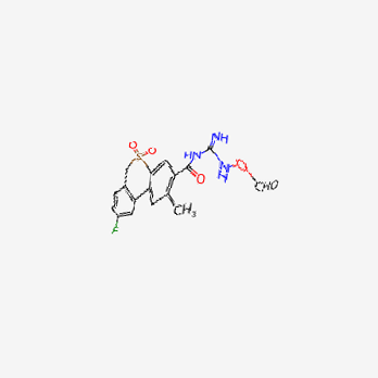 Cc1cc2c(cc1C(=O)NC(=N)NOC=O)S(=O)(=O)Cc1ccc(F)cc1-2